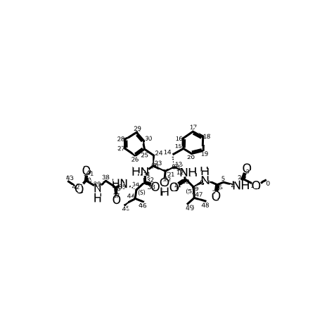 COC(=O)NCC(=O)N[C@H](C(=O)N[C@@H](Cc1ccccc1)C(O)[C@H](Cc1ccccc1)NC(=O)[C@@H](NC(=O)CNC(=O)OC)C(C)C)C(C)C